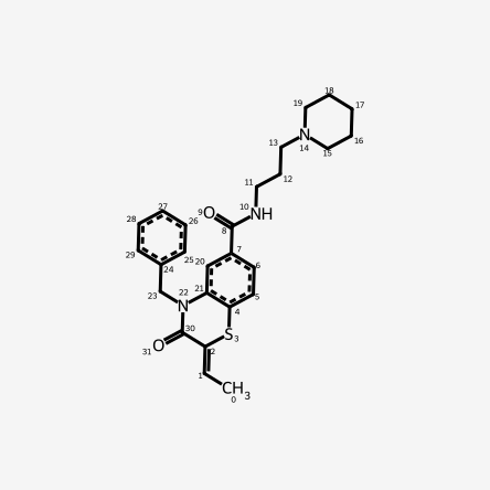 C/C=C1\Sc2ccc(C(=O)NCCCN3CCCCC3)cc2N(Cc2ccccc2)C1=O